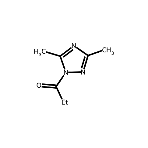 CCC(=O)n1nc(C)nc1C